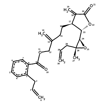 C=CCc1ccccc1C(=O)OCC(=C)CC[C@H]1C(=C)C(=O)O[C@@H]1[C@H]1O[C@]1(C)CC=C